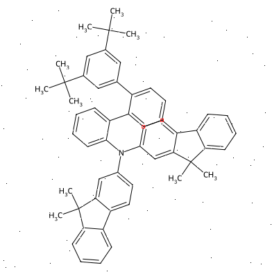 CC(C)(C)c1cc(-c2ccccc2-c2ccccc2N(c2ccc3c(c2)C(C)(C)c2ccccc2-3)c2ccc3c(c2)C(C)(C)c2ccccc2-3)cc(C(C)(C)C)c1